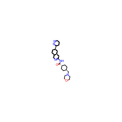 O=C(Nc1cc2cc(-c3cccnn3)ccc2cn1)[C@H]1CC[C@H](CN2CCOCC2)CC1